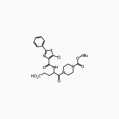 CCCCOC(=O)N1CCN(C(=O)C(CCC(=O)O)NC(=O)c2nc(-c3ccccc3)sc2Cl)CC1